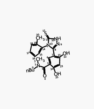 CCCCN(C)C(=O)c1cc(-c2n[nH]c(=S)n2-c2ccccc2C)c(O)cc1O